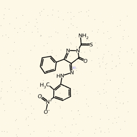 Cc1c(N/N=C2/C(=O)N(C(N)=S)N=C2c2ccccc2)cccc1[N+](=O)[O-]